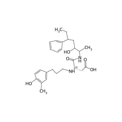 CCC(CC(O)C(C)NC(=O)[C@H](CC(=O)O)NCCCc1ccc(O)c(C)c1)c1ccccc1